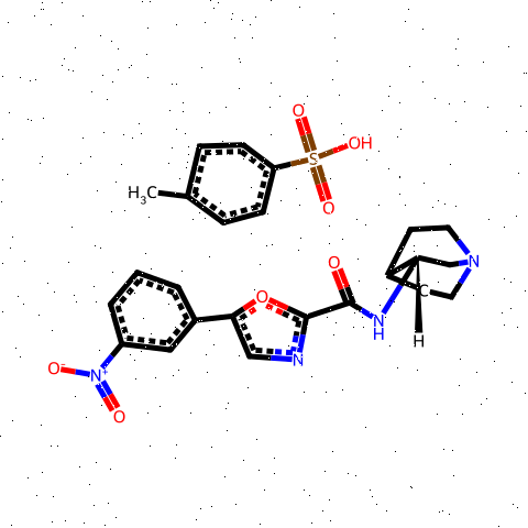 Cc1ccc(S(=O)(=O)O)cc1.O=C(N[C@H]1CN2CCC1CC2)c1ncc(-c2cccc([N+](=O)[O-])c2)o1